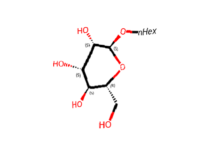 CCCCCCO[C@H]1O[C@H](CO)[C@@H](O)[C@H](O)[C@@H]1O